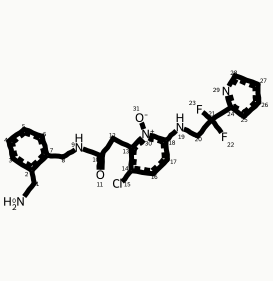 NCc1ccccc1CNC(=O)Cc1c(Cl)ccc(NCC(F)(F)c2ccccn2)[n+]1[O-]